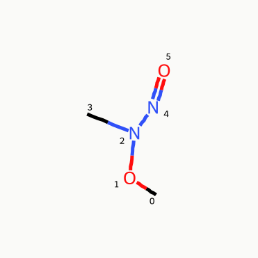 CON(C)N=O